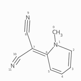 CN1C=CC=CC1=C(C#N)C#N